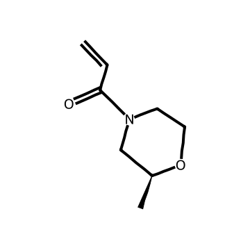 C=CC(=O)N1CCO[C@@H](C)C1